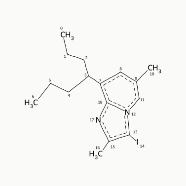 CCCC(CCC)c1cc(C)cn2c(I)c(C)nc12